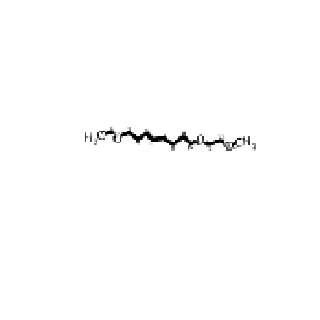 CCOCCCCCCCCOCCOC